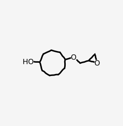 OC1CCCCC(OCC2CO2)CCC1